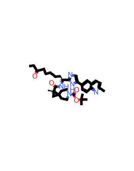 CCC(=O)CCCCC[C@H](NC(=O)[C@@]1(C)CC12CCN(C(=O)OC(C)(C)C)CC2)c1ncc(-c2ccc3nc(C)ccc3c2)[nH]1